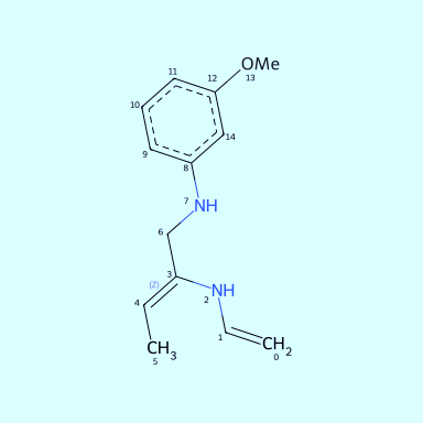 C=CN/C(=C\C)CNc1cccc(OC)c1